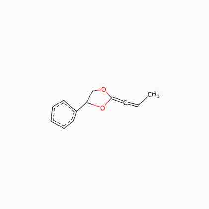 CC=C=C1OCC(c2ccccc2)O1